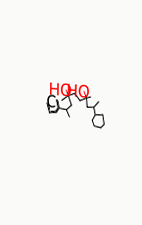 CC(CC(C)(O)CCC(C)(O)CC(C)C1CCCCC1)c1ccccc1